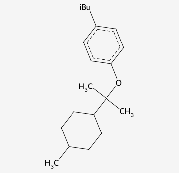 CCC(C)c1ccc(OC(C)(C)C2CCC(C)CC2)cc1